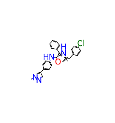 C[C@H](Cc1ccc(Cl)cc1)N[C@H](C(=O)Nc1ccc(-c2cnn(C)c2)cc1)c1ccccc1